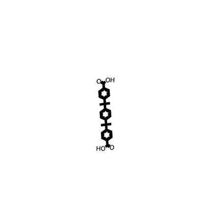 CC(C)(c1ccc(C(=O)O)cc1)c1ccc(C(C)(C)c2ccc(C(=O)O)cc2)cc1